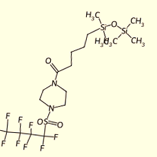 C[Si](C)(C)O[Si](C)(C)CCCCC(=O)N1CCN(S(=O)(=O)C(F)(F)C(F)(F)C(F)(F)C(F)(F)F)CC1